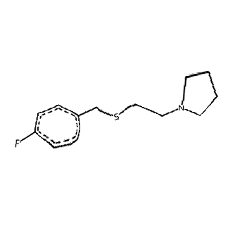 Fc1ccc(CSCCN2CCCC2)cc1